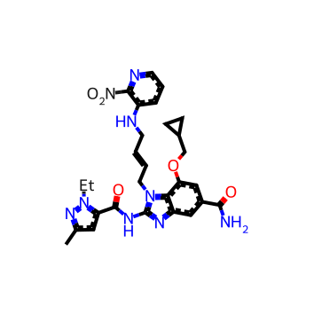 CCn1nc(C)cc1C(=O)Nc1nc2cc(C(N)=O)cc(OCC3CC3)c2n1C/C=C/CNc1cccnc1[N+](=O)[O-]